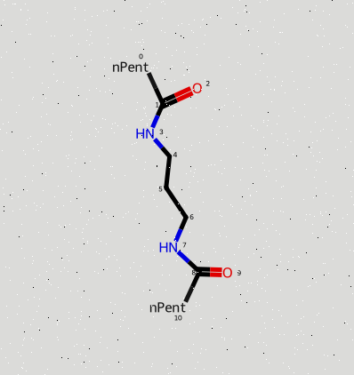 CCCCCC(=O)NCCCNC(=O)CCCCC